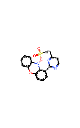 CCCS(=O)(=O)ON1c2ccccc2Oc2cccc(-c3nccc(C)n3)c21